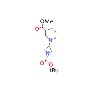 COC(=O)C1CCCN(C2CN(C(=O)OC(C)(C)C)C2)C1